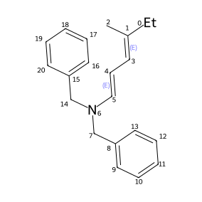 CC/C(C)=C/C=C/N(Cc1ccccc1)Cc1ccccc1